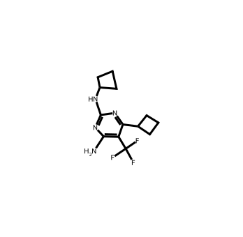 Nc1nc(NC2CCC2)nc(C2CCC2)c1C(F)(F)F